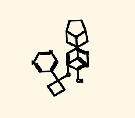 N#Cc1ccc(N2C3CCC2CN(C(=O)COC2(c4cncnc4)CCC2)C3)nc1